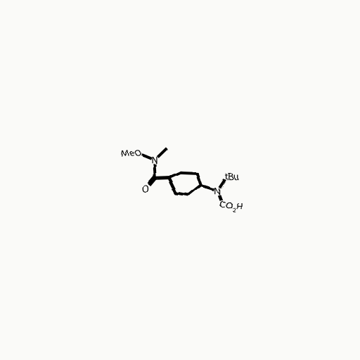 CON(C)C(=O)C1CCC(N(C(=O)O)C(C)(C)C)CC1